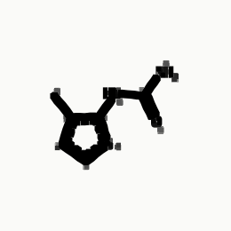 Cc1ccsc1NC(N)=O